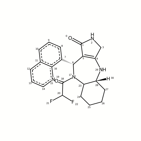 O=C1NCC2=C1[C@@H](c1cccc3cccnc13)N(C(=O)C(F)F)C1CCCC[C@H]1N2